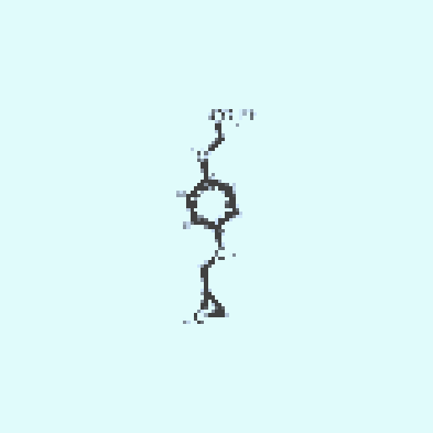 CCOC(=O)COc1ccc(OCC2CO2)cc1